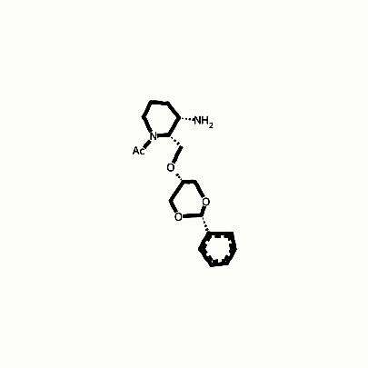 CC(=O)N1CCC[C@H](N)[C@@H]1CO[C@H]1CO[C@@H](c2ccccc2)OC1